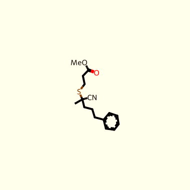 COC(=O)CCSC(C)(C#N)CCCc1ccccc1